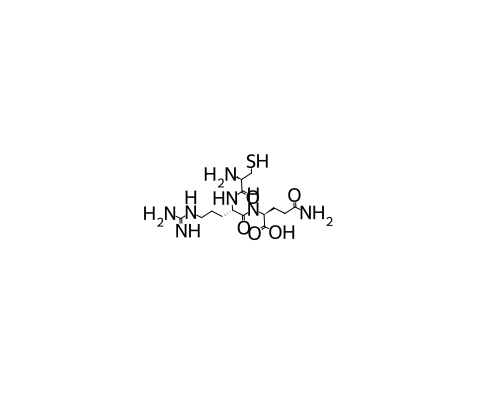 N=C(N)NCCC[C@H](NC(=O)[C@@H](N)CS)C(=O)N[C@@H](CCC(N)=O)C(=O)O